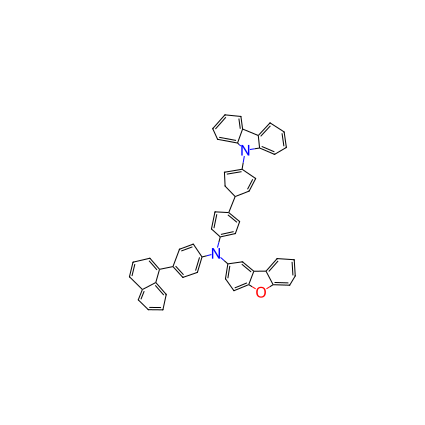 C1=CC(c2ccc(N(c3ccc(-c4cccc5ccccc45)cc3)c3ccc4oc5ccccc5c4c3)cc2)CC=C1n1c2ccccc2c2ccccc21